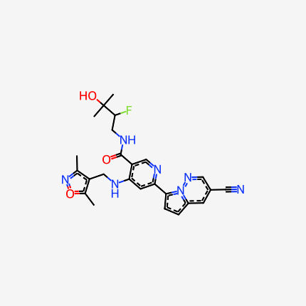 Cc1noc(C)c1CNc1cc(-c2ccc3cc(C#N)cnn23)ncc1C(=O)NCC(F)C(C)(C)O